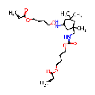 C=CC(=O)OCCCCONC1CC(C)(C)CC(C)(CNC(=O)OCCCCOC(=O)C=C)C1